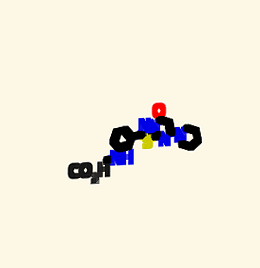 O=C(O)CNc1cccc(-c2nn3c(=O)cc(N4CCCCC4)nc3s2)c1